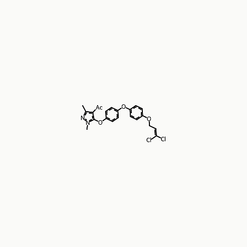 CC(=O)c1c(C)nn(C)c1Oc1ccc(Oc2ccc(OCC=C(Cl)Cl)cc2)cc1